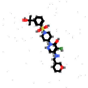 CC(C)(O)c1cccc(S(=O)(=O)N2CCC(n3ncc(NC[C@@H]4CCCOC4)c(Cl)c3=O)CC2)c1